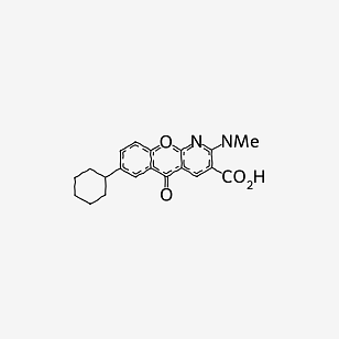 CNc1nc2oc3ccc(C4CCCCC4)cc3c(=O)c2cc1C(=O)O